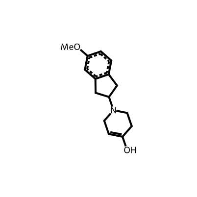 COc1ccc2c(c1)CC(N1CC=C(O)CC1)C2